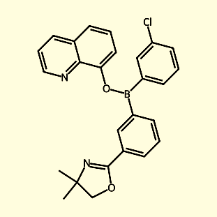 CC1(C)COC(c2cccc(B(Oc3cccc4cccnc34)c3cccc(Cl)c3)c2)=N1